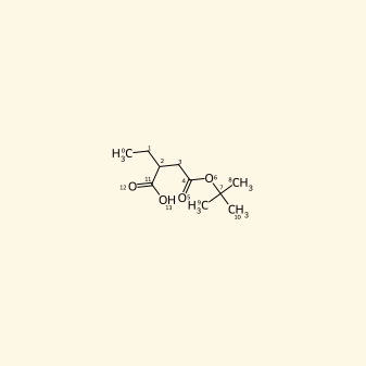 CCC(CC(=O)OC(C)(C)C)C(=O)O